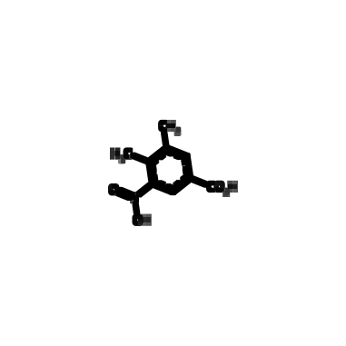 Cc1cc(C(=O)O)cc(S(=O)O)c1C